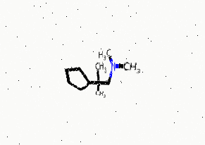 CN(C)CC(C)(C)C1CCCC1